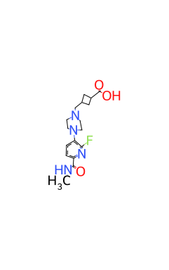 CNC(=O)c1ccc(N2CCN(CC3CC(C(=O)O)C3)CC2)c(F)n1